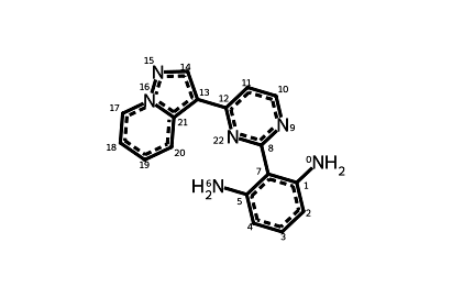 Nc1cccc(N)c1-c1nccc(-c2cnn3ccccc23)n1